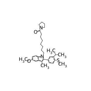 COc1ccc2c(c1)c(C)c(-c1ccc(SC)c(C(C)C)c1)n2CCCCCCCC(=O)N1CCCC1